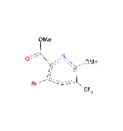 COC(=O)c1nc(OC)c(C(F)(F)F)cc1Br